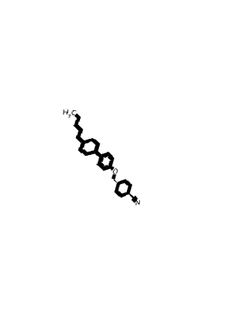 CCCCCC1CCC(c2ccc(OC[C@H]3CC[C@H](C#N)CC3)cc2)CC1